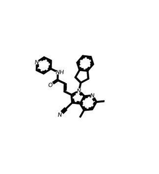 Cc1cc(C)c2c(C#N)c(/C=C/C(=O)Nc3ccncc3)n(C3Cc4ccccc4C3)c2n1